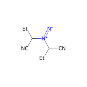 CCC(C#N)[N+](=[N-])C(C#N)CC